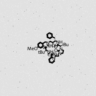 CC[C@H](C)[C@@H](C(=O)N[C@@H](Cc1ccccc1)[C@@H](O)CN(Cc1ccc(OC)cc1)NC(=O)[C@@H](NC(=O)O)C(C)(C)C)N1CCN(Cc2ncc3ccccn23)C1=O